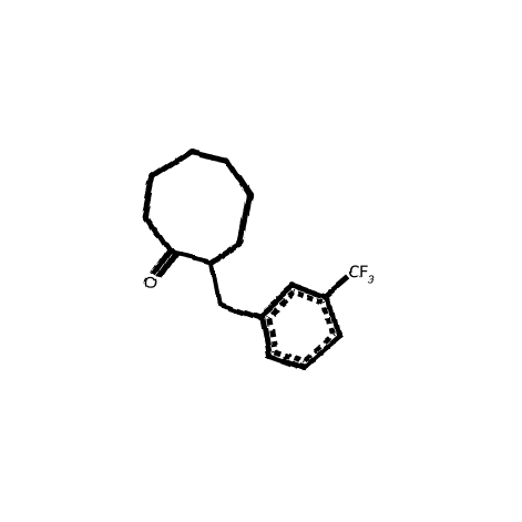 O=C1CCCCCCC1Cc1cccc(C(F)(F)F)c1